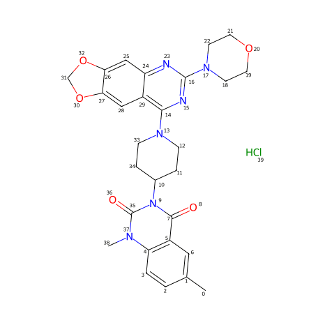 Cc1ccc2c(c1)c(=O)n(C1CCN(c3nc(N4CCOCC4)nc4cc5c(cc34)OCO5)CC1)c(=O)n2C.Cl